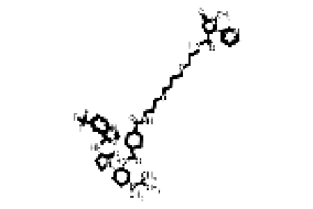 CC(C)N(C)[C@@H]1CC[C@H](N2CC[C@H](Nc3ncnc4ccc(C(F)(F)F)cc34)C2=O)[C@H](NC(=O)C2CCC(C(=O)NCCCOCCCCOCCCNC(=O)[C@H]3CC(=O)N(C)[C@@H]3c3cccnc3)CC2)C1